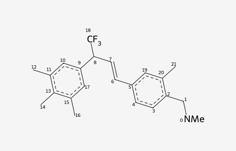 CNCc1ccc(/C=C/C(c2cc(C)c(C)c(C)c2)C(F)(F)F)cc1C